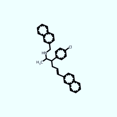 CC(NCc1ccc2ccccc2c1)C(CC=Cc1ccc2ccccc2c1)c1ccc(Cl)cc1